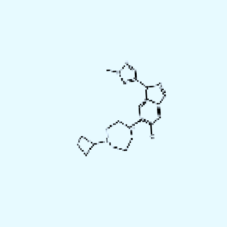 Cn1cc(-n2ncc3cc(Cl)c([C@H]4CCCN(C5COC5)CC4)cc32)cn1